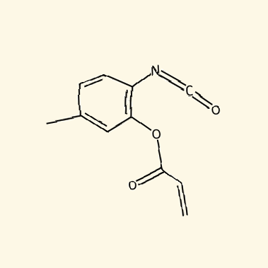 C=CC(=O)Oc1cc(C)ccc1N=C=O